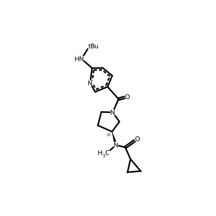 CN(C(=O)C1CC1)[C@H]1CCN(C(=O)c2ccc(NC(C)(C)C)nc2)C1